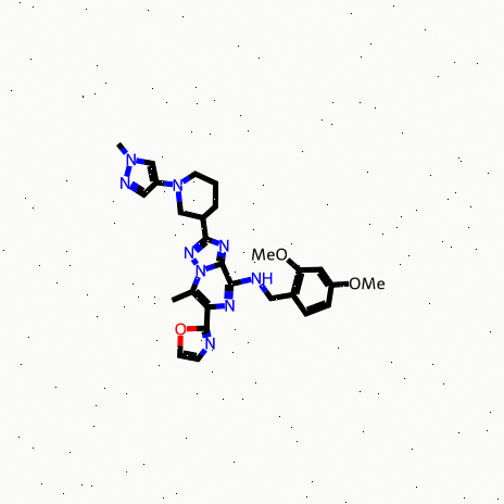 COc1ccc(CNc2nc(-c3ncco3)c(C)n3nc(C4CCCN(c5cnn(C)c5)C4)nc23)c(OC)c1